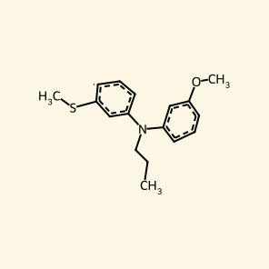 CCCN(c1cc[c]c(SC)c1)c1cccc(OC)c1